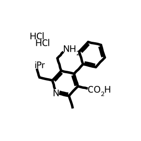 Cc1nc(CC(C)C)c(CN)c(-c2ccccc2)c1C(=O)O.Cl.Cl